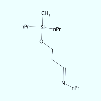 CCCN=CCCO[Si](C)(CCC)CCC